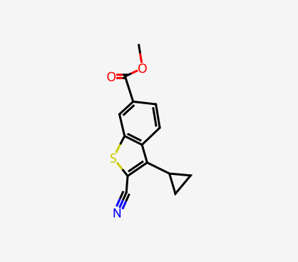 COC(=O)c1ccc2c(C3CC3)c(C#N)sc2c1